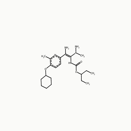 CCC(CC)OC(=O)N/C(=C(/N)c1ccc(OC2CCCCC2)c(C)n1)N(C)N